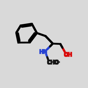 O=[C]NC(CO)Cc1ccccc1